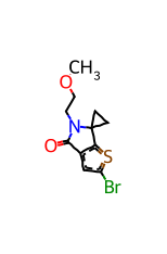 COCCN1C(=O)c2cc(Br)sc2C12CC2